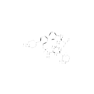 CC(C)(Cc1ccccc1C1CCNCC1)Nc1nc(C2CNCCO2)nc(-n2c(C(F)F)nc3ccccc32)n1